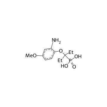 CCC(CC)(Oc1ccc(OC)cc1N)P(=O)(O)O